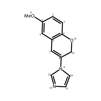 COc1ccc2c(c1)C=C(n1ccnc1)CO2